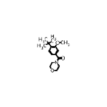 COc1cc(C(=O)N2CCOCC2)ccc1C(C)(C)C